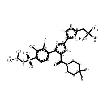 C[C@H](NS(=O)(=O)c1ccc(-c2sc(-c3nnc(CC(C)(C)O)o3)nc2C(=O)N2CCC(F)(F)CC2)c(Cl)c1Cl)C(F)(F)F